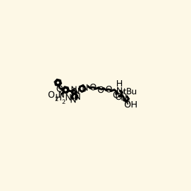 CC(C)(C)[C@H](NC(=O)CCOCCOCCOCCN1CCC(n2nc(-c3ccc(Oc4ccccc4)c([N+](=O)[O-])c3)c3c(N)ncnc32)CC1)C(=O)N1CC[C@@H](O)C1